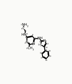 Cc1nc(NCCN)cc(Nc2ncc(-c3ccccc3)s2)n1